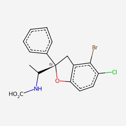 CC(NC(=O)O)[C@@]1(c2ccccc2)Cc2c(ccc(Cl)c2Br)O1